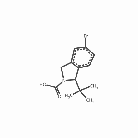 CC(C)(C)C1c2ccc(Br)cc2CN1C(=O)O